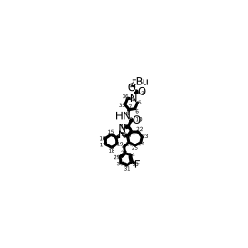 CC(C)(C)OC(=O)N1CCC(NC(=O)c2nn(C3CCCCC3)c3c2CCCCC3Cc2cccc(F)c2)CC1